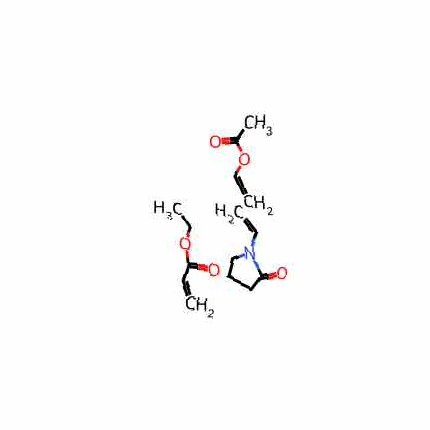 C=CC(=O)OCC.C=CN1CCCC1=O.C=COC(C)=O